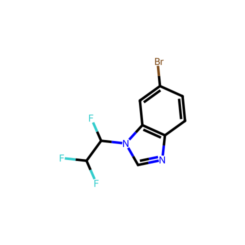 FC(F)C(F)n1cnc2ccc(Br)cc21